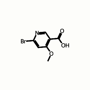 COc1cc(Br)ncc1C(=O)O